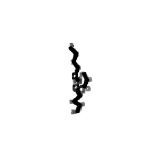 CCCC[O][Ti][O]CCCC.CCCl